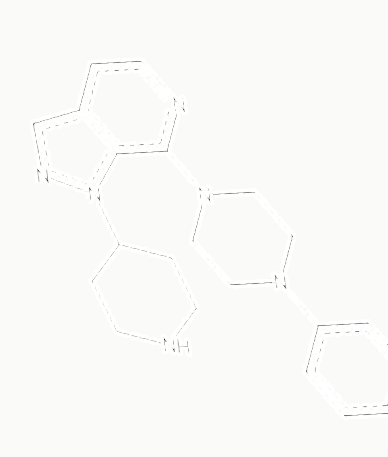 Cc1ccc(N2CCN(c3nccc4cnn(C5CCNCC5)c34)CC2)cc1